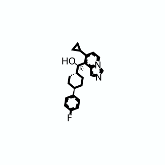 O[C@H](c1c(C2CC2)ccn2cncc12)[C@H]1CC[C@H](c2ccc(F)cc2)CC1